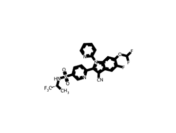 C[C@@H](NS(=O)(=O)c1ccc(-c2c(C#N)c3cc(F)c(OC(F)F)cc3n2-c2ccccn2)nc1)C(F)(F)F